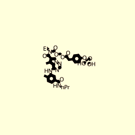 CCCNC(=O)c1ccc(C)c(Nc2ncnn3cc(C(=O)N(CC)C(=O)OCOC(=O)Cc4ccc(OP(=O)(O)O)cc4)c(C)c23)c1